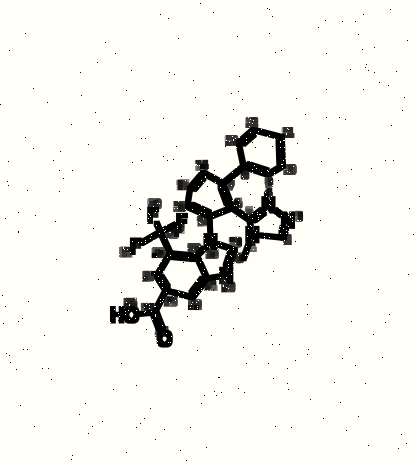 Cn1cnnc1-c1c(-c2ccccc2)cccc1-n1cnc2cc(C(=O)O)cc(C(F)(F)F)c21